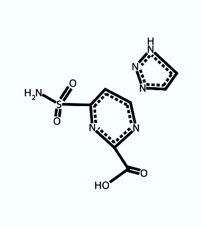 NS(=O)(=O)c1ccnc(C(=O)O)n1.c1c[nH]nn1